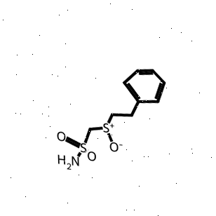 NS(=O)(=O)C[S+]([O-])CCc1ccccc1